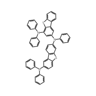 c1ccc(N(c2ccccc2)c2ccc3sc4cc(N(c5ccccc5)c5cc(N(c6ccccc6)c6ccccc6)c6sc7ccccc7c6c5)ccc4c3c2)cc1